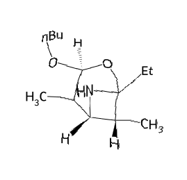 CCCCO[C@H]1OC2(CC)N[C@@H](C1C)[C@H]2C